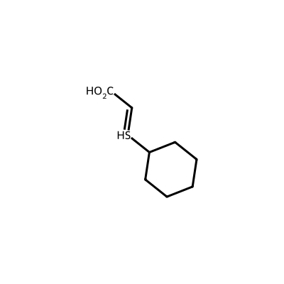 O=C(O)C=[SH]C1CCCCC1